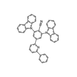 N#Cc1c(-n2c3ccccc3c3ccccc32)cc(-c2cccc(-c3ccccc3)n2)cc1-n1c2ccccc2c2ccccc21